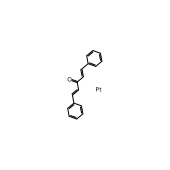 O=C(/C=C/c1ccccc1)/C=C/c1ccccc1.[Pt]